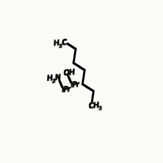 CC(C)N.CC(C)O.CCCCCCC